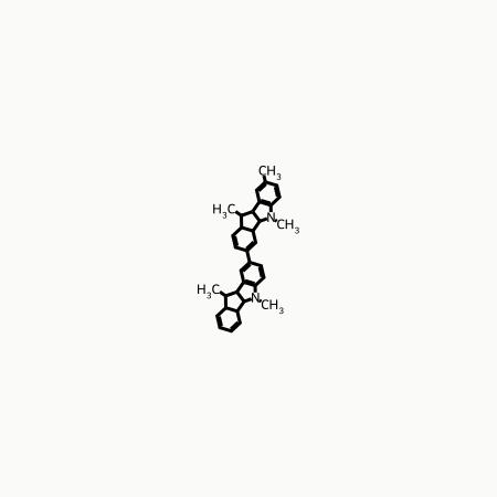 Cc1ccc2c(c1)C1C(C)C3C=CC(c4ccc5c(c4)C4C(C)C6C=CC=CC6C4N5C)=CC3C1N2C